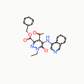 CCn1nc(C(=O)OCc2ccccc2)c(C(C)=O)c(Nc2cncc3ccccc23)c1=O